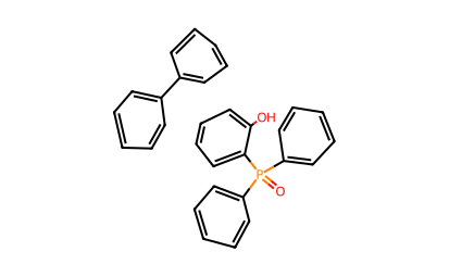 O=P(c1ccccc1)(c1ccccc1)c1ccccc1O.c1ccc(-c2ccccc2)cc1